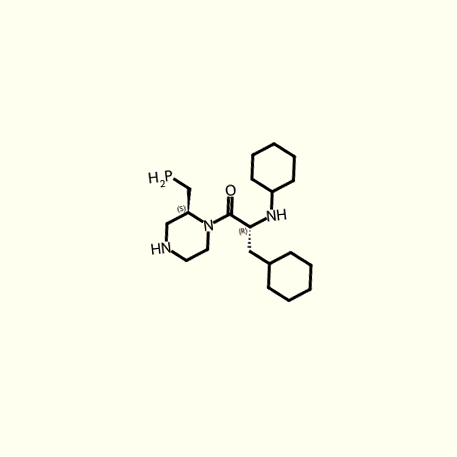 O=C([C@@H](CC1CCCCC1)NC1CCCCC1)N1CCNC[C@H]1CP